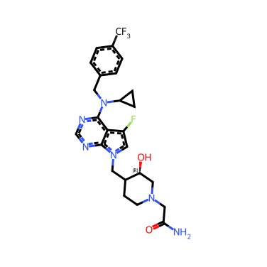 NC(=O)CN1CCC(Cn2cc(F)c3c(N(Cc4ccc(C(F)(F)F)cc4)C4CC4)ncnc32)[C@@H](O)C1